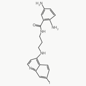 Nc1ccc(N)c(C(=O)NCCCNc2ccnc3cc(I)ccc23)c1